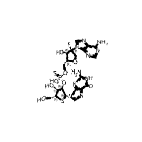 Nc1nc2c(ncn2[C@@H]2S[C@H](CO)[C@@H](O)[C@H]2OP(O)(=S)OC[C@H]2OC[C@@](F)(n3cnc4c(N)ncnc43)[C@@H]2O)c(=O)[nH]1